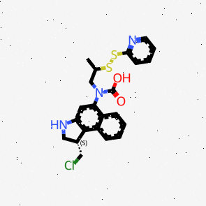 CC(CN(C(=O)O)c1cc2c(c3ccccc13)[C@H](CCl)CN2)SSc1ccccn1